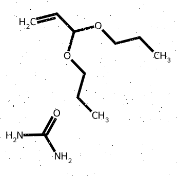 C=CC(OCCC)OCCC.NC(N)=O